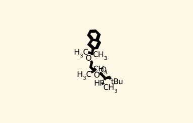 CPC(CC(C)(C)C)C(=O)OC(C)(C)CCOC(C)(C)c1ccc2ccccc2c1